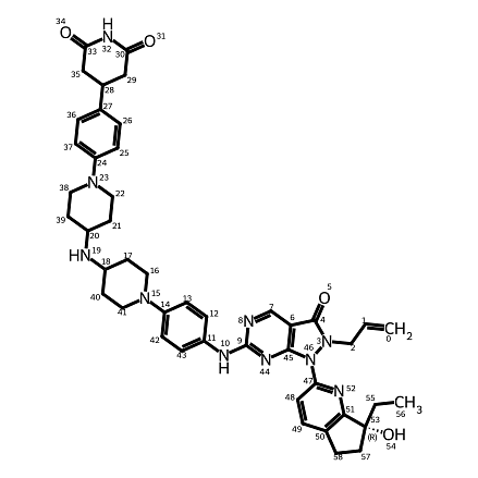 C=CCn1c(=O)c2cnc(Nc3ccc(N4CCC(NC5CCN(c6ccc(C7CC(=O)NC(=O)C7)cc6)CC5)CC4)cc3)nc2n1-c1ccc2c(n1)[C@@](O)(CC)CC2